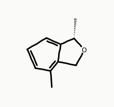 Cc1cccc2c1CO[C@H]2C